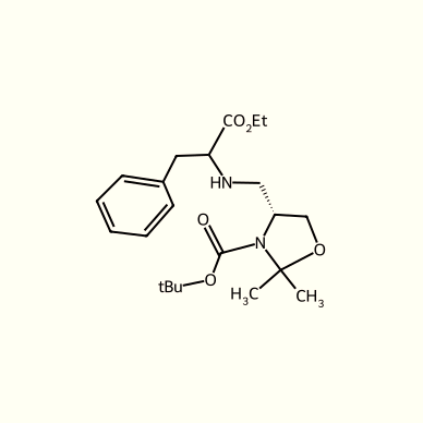 CCOC(=O)C(Cc1ccccc1)NC[C@@H]1COC(C)(C)N1C(=O)OC(C)(C)C